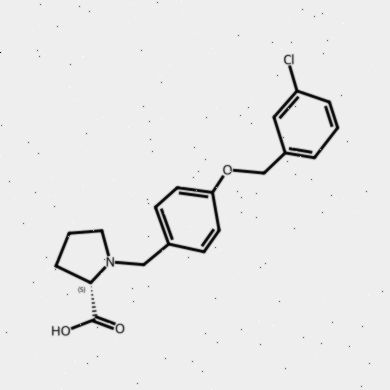 O=C(O)[C@@H]1CCCN1Cc1ccc(OCc2cccc(Cl)c2)cc1